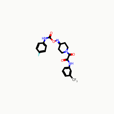 O=C(Nc1ccc(F)cc1)ON=C1CCN(C(=O)C(=O)Nc2cccc(C(F)(F)F)c2)CC1